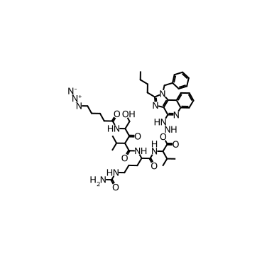 CCCCc1nc2c(NNOC(=O)C(NC(=O)C(CCCNC(N)=O)NC(=O)C(C(=O)C(CO)NC(=O)CCCCN=[N+]=[N-])C(C)C)C(C)C)nc3ccccc3c2n1Cc1ccccc1